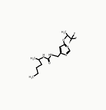 CCCCC(C)NC(=O)NCc1cc(OC(C)C(F)(F)F)ncn1